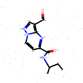 CCC(C)NC(=O)c1ccn2ncc(C=O)c2n1